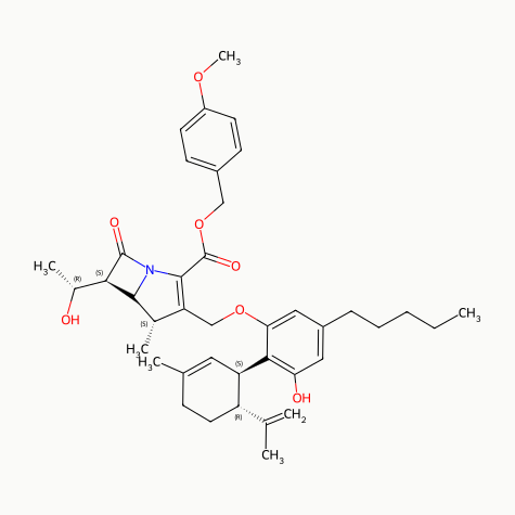 C=C(C)[C@@H]1CCC(C)=C[C@H]1c1c(O)cc(CCCCC)cc1OCC1=C(C(=O)OCc2ccc(OC)cc2)N2C(=O)[C@H]([C@@H](C)O)C2[C@H]1C